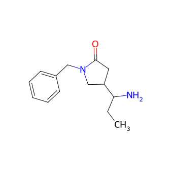 CCC(N)C1CC(=O)N(Cc2ccccc2)C1